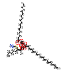 CCCCCCCCCCCCCCCCCC(=O)O[SiH](OOC(C)C(CCCCC)SC#N)OC(=O)CCCCCCCCCCCCCCCCC